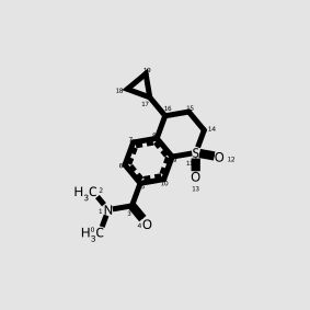 CN(C)C(=O)c1ccc2c(c1)S(=O)(=O)CCC2C1CC1